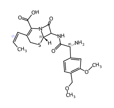 C/C=C\C1=C(C(=O)O)N2C(=O)C(NC(=O)[C@H](N)c3ccc(COC)c(OC)c3)[C@@H]2SC1